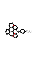 CC(C)(C)c1ccc(N(c2ccccc2)c2ccccc2-c2cccc3cccc(-c4ccccc4)c23)cc1